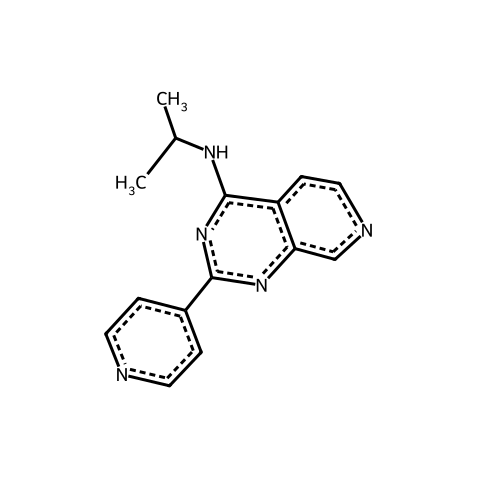 CC(C)Nc1nc(-c2ccncc2)nc2cnccc12